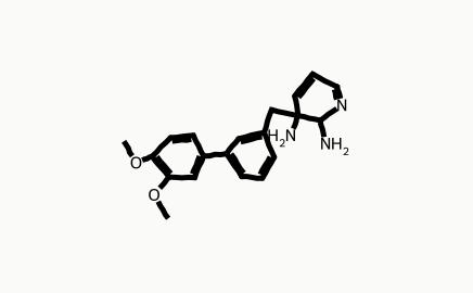 COc1ccc(-c2cccc(CC3(N)C=CC=NC3N)c2)cc1OC